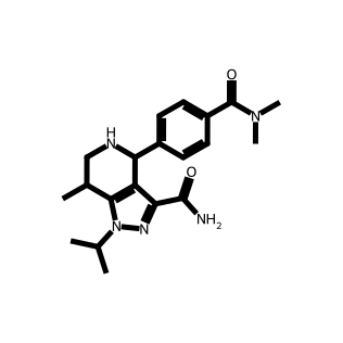 CC1CNC(c2ccc(C(=O)N(C)C)cc2)c2c(C(N)=O)nn(C(C)C)c21